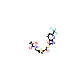 O=C(CSc1nc2nc(C(F)(F)F)ccc2o1)c1ccc(CNC(=O)C2(O)CC2)s1